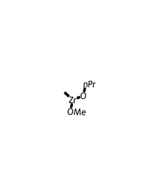 CCC[O][Zr]([CH3])[O]C